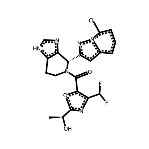 C[C@H](O)c1nc(C(F)F)c(C(=O)N2CCc3[nH]cnc3[C@@H]2c2cc3cccc(Cl)n3n2)o1